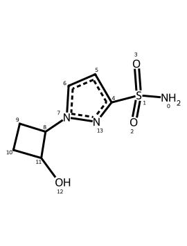 NS(=O)(=O)c1ccn(C2CCC2O)n1